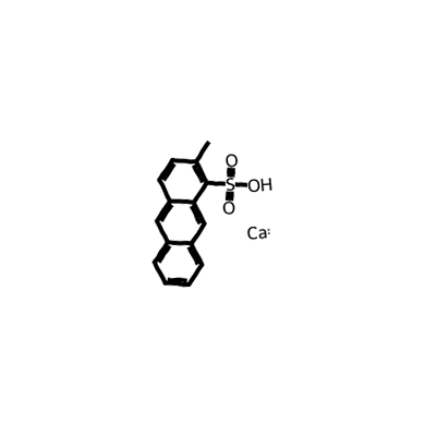 Cc1ccc2cc3ccccc3cc2c1S(=O)(=O)O.[Ca]